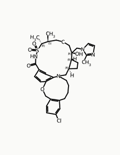 Cc1nccn1C[C@@]1(O)CCC[C@H](C)[C@@H](C)S(=O)(=O)NC(=O)c2ccc3c(c2)N(CCCCc2cc(Cl)ccc2CO3)C[C@@H]2CC[C@H]21